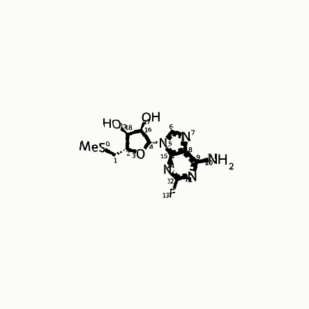 CSC[C@H]1O[C@@H](n2cnc3c(N)nc(F)nc32)[C@H](O)[C@@H]1O